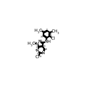 Cc1cc(C)c(Cl)c(Nc2nn(C)c3nc(Cl)ncc23)c1